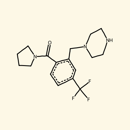 O=C(c1ccc(C(F)(F)F)cc1CN1CCNCC1)N1CCCC1